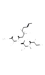 C/C=C/C[C@@H](C)[C@@H](OC(C)=O)[C@H](CC(=O)[C@H](C(C)C)N(C)C(=O)[C@@H](C)CC(C)C)C(=O)N[C@@H](CC)C(=O)OC